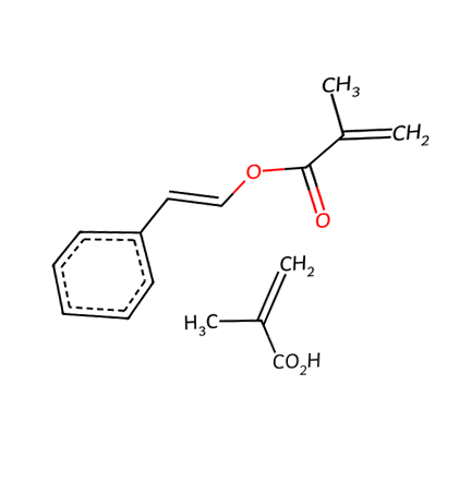 C=C(C)C(=O)O.C=C(C)C(=O)OC=Cc1ccccc1